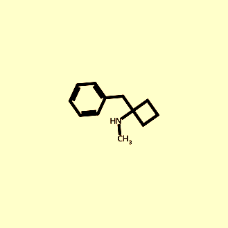 CNC1(Cc2ccccc2)CCC1